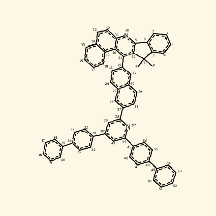 CC1(C)c2ccccc2-c2nc3ccc4ccccc4c3c(-c3ccc4cc(-c5cc(-c6ccc(-c7ccccc7)cc6)cc(-c6ccc(-c7ccccc7)cc6)n5)ccc4c3)c21